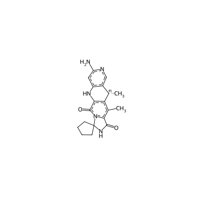 Cc1c2c(c(=O)n3c1C(=O)NC31CCCC1)Nc1cc(N)ncc1[C@@H]2C